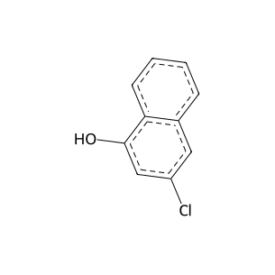 Oc1cc(Cl)cc2ccccc12